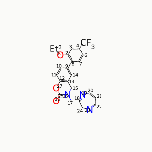 CCOc1cc(C(F)(F)F)ccc1-c1ccc2c(c1)CN(CC1=NC=CC=NC1)C(=O)O2